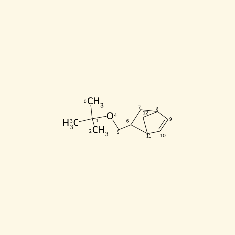 CC(C)(C)OCC1CC2C=CC1C2